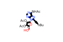 CCCCC#Cc1nc2c(NC(C)=O)ncnc2n1[C@@H]1O[C@H](CO)[C@@H](OC(C)=O)[C@H]1OC(C)=O